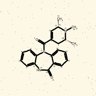 C[C@@H]1CC(C(=O)N2c3ccccc3NC(=O)c3ccccc32)=C[C@H](C)N1C